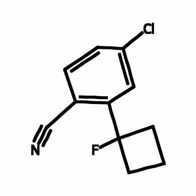 N#Cc1ccc(Cl)cc1C1(F)CCC1